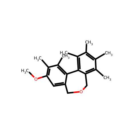 COc1cc2c(c(C)c1C)-c1c(C)c(C)c(C)c(C)c1COC2